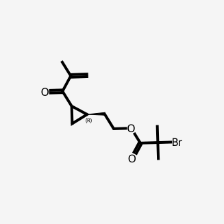 C=C(C)C(=O)C1C[C@@H]1CCOC(=O)C(C)(C)Br